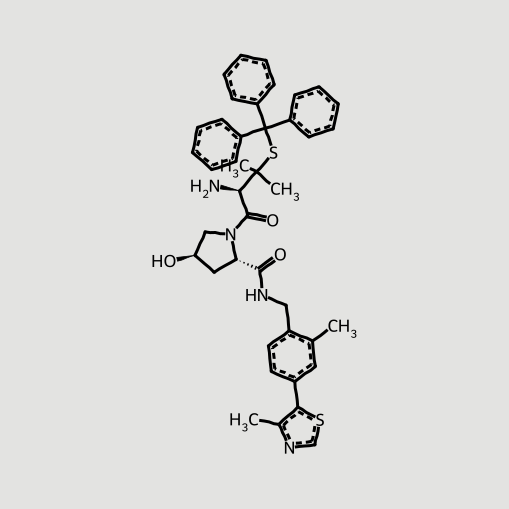 Cc1cc(-c2scnc2C)ccc1CNC(=O)[C@@H]1C[C@@H](O)CN1C(=O)[C@@H](N)C(C)(C)SC(c1ccccc1)(c1ccccc1)c1ccccc1